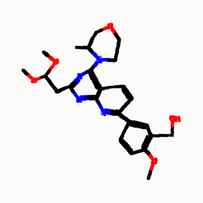 COc1ccc(-c2ccc3c(N4CCOCC4C)nc(CC(OC)OC)nc3n2)cc1CO